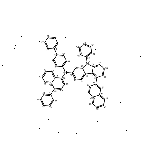 c1ccc(-c2ccc(N(c3ccc4c5c(-c6ccc7ccccc7c6)cccc5n(-c5ccccc5)c4c3)c3ccc(-c4ccccc4)c4ccccc34)cc2)cc1